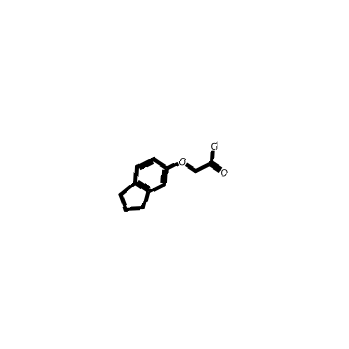 O=C(Cl)COc1ccc2c(c1)CCC2